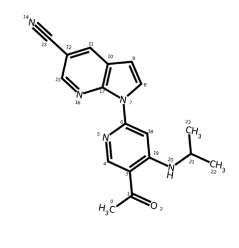 CC(=O)c1cnc(-n2ccc3cc(C#N)cnc32)cc1NC(C)C